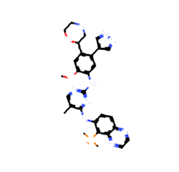 COc1cc(C2CNCCO2)c(-c2cn[nH]c2)cc1Nc1ncc(C)c(Nc2ccc3nccnc3c2P(C)(C)=O)n1